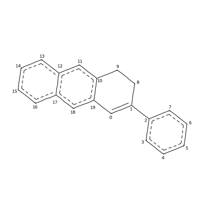 C1=C(c2ccccc2)CCc2cc3ccccc3cc21